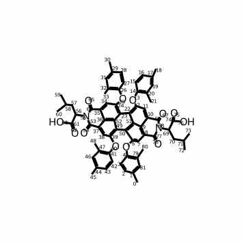 Cc1ccc(Oc2cc3c4c(cc(Oc5ccc(C)cc5C)c5c6c(Oc7ccc(C)cc7C)cc7c8c(cc(Oc9ccc(C)cc9C)c(c2c45)c86)C(=O)N(C(CC(C)C)C(=O)O)C7=O)C(=O)N(C(CC(C)C)C(=O)O)C3=O)c(C)c1